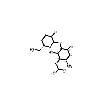 NC[C@@H]1CCC(N)C(OC2C(O)C(O[C@@H](O)C=O)[C@H](N)C[C@@H]2N)O1